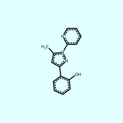 Cc1cc(-c2ccccc2O)nn1-c1ccccn1